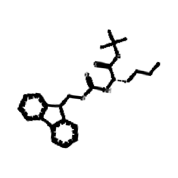 CCCC[C@H](NC(=O)OCC1c2ccccc2-c2ccccc21)C(=O)OC(C)(C)C